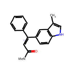 CNC(=O)/C=C(/c1ccccc1)c1ccc2[nH]cc(C)c2c1